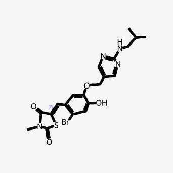 CC(C)CNc1ncc(COc2cc(/C=C3\SC(=O)N(C)C3=O)c(Br)cc2O)cn1